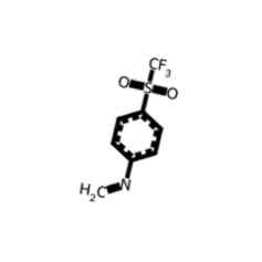 C=Nc1ccc(S(=O)(=O)C(F)(F)F)cc1